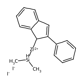 C[SiH](C)[Zr+2][CH]1C(c2ccccc2)=Cc2ccccc21.[I-].[I-]